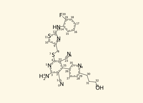 N#Cc1c(N)nc(SCc2csc(Nc3ccccc3F)n2)c(C#N)c1-c1ccc(CCCO)nc1